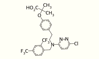 CC(C)(Oc1ccc(CCN(Cc2ccc(C(F)(F)F)cc2C(F)(F)F)c2ccc(Cl)nn2)cc1)C(=O)O